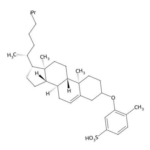 Cc1ccc(S(=O)(=O)O)cc1OC1CC[C@@]2(C)C(=CC[C@H]3[C@@H]4CC[C@H]([C@H](C)CCCC(C)C)[C@@]4(C)CC[C@@H]32)C1